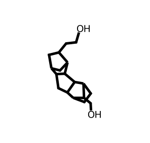 OCCC1CC2CC1C1C2CC2C3CCC(C3CO)C21